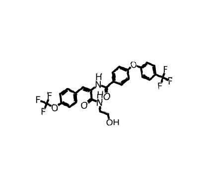 O=C(NCCO)/C(=C\c1ccc(OC(F)(F)F)cc1)NC(=O)c1ccc(Oc2ccc(C(F)(F)F)cc2)cc1